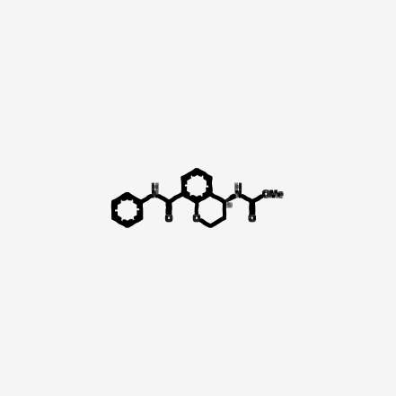 COC(=O)N[C@H]1CCOc2c(C(=O)Nc3ccccc3)cccc21